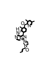 C/C=C/C(=O)N1CCN(c2nc(-c3ccc(C(=O)c4ncc(C)cc4C)c(C)c3)c3c(N)nccn23)C1